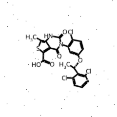 Cc1sc(C(=O)O)c2c(=O)n(-c3cc(OC(C)c4c(Cl)cccc4Cl)ccc3Cl)c(=O)[nH]c12